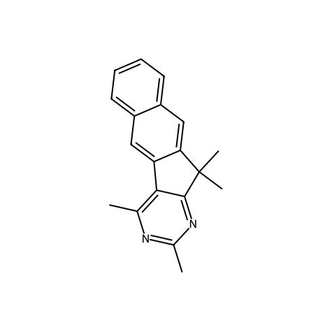 Cc1nc(C)c2c(n1)C(C)(C)c1cc3ccccc3cc1-2